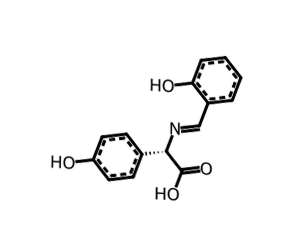 O=C(O)[C@@H](N=Cc1ccccc1O)c1ccc(O)cc1